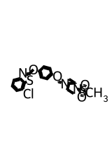 CS(=O)(=O)N1CC2CC1CN2COc1ccc(Oc2nc3cccc(Cl)c3s2)cc1